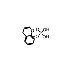 C1=COc2ccccc2C1.O=P(O)(O)O